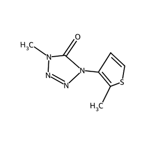 Cc1sccc1-n1nnn(C)c1=O